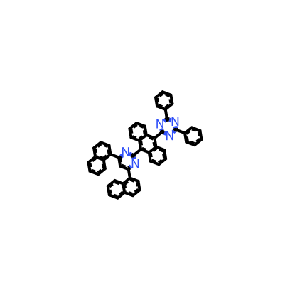 c1ccc(-c2nc(-c3ccccc3)nc(-c3c4ccccc4c(-c4nc(-c5cccc6ccccc56)cc(-c5cccc6ccccc56)n4)c4ccccc34)n2)cc1